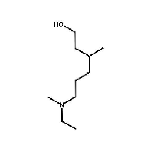 CCN(C)CCCC(C)CCO